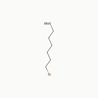 CSCCCCCCBr